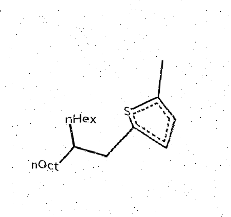 CCCCCCCCC(CCCCCC)Cc1ccc(C)s1